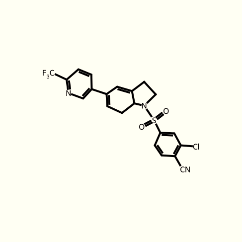 N#Cc1ccc(S(=O)(=O)N2CCC3=CC(c4ccc(C(F)(F)F)nc4)=CCC32)cc1Cl